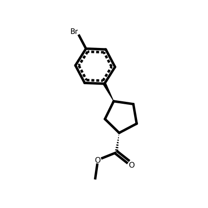 COC(=O)[C@H]1CC[C@H](c2ccc(Br)cc2)C1